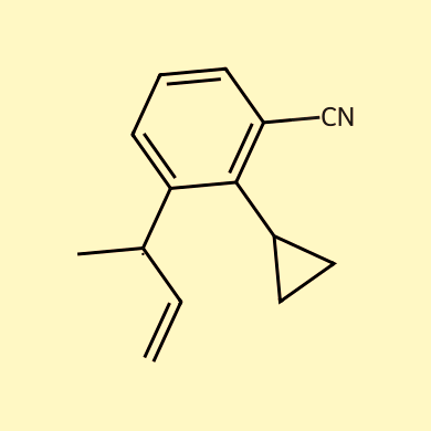 C=C[C](C)c1cccc(C#N)c1C1CC1